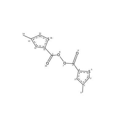 Cc1csc(C(=O)OOC(=O)c2cc(C)cs2)c1